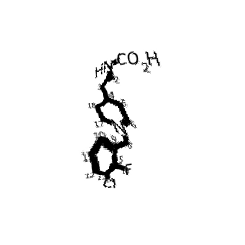 O=C(O)NCCC1CCN(Cc2cccc(Cl)c2F)CC1